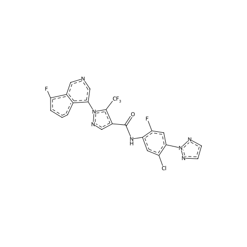 O=C(Nc1cc(Cl)c(-n2nccn2)cc1F)c1cnn(-c2cncc3c(F)cccc23)c1C(F)(F)F